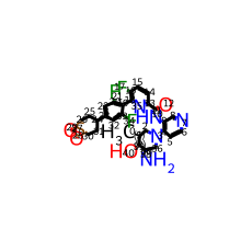 C[C@H]1CN(c2ccncc2NC(=O)c2ccc(F)c(-c3c(F)cc(C4CCS(=O)(=O)CC4)cc3F)n2)C[C@@H](N)[C@@H]1O